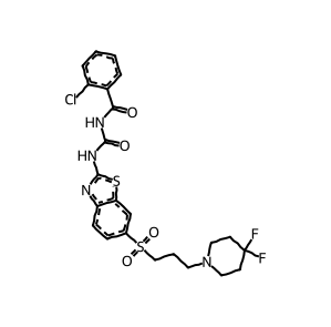 O=C(NC(=O)c1ccccc1Cl)Nc1nc2ccc(S(=O)(=O)CCCN3CCC(F)(F)CC3)cc2s1